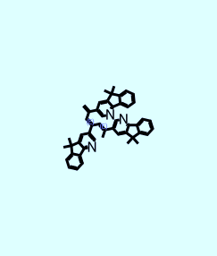 C=C(/C=C(\C=C(/C)c1cnc2c(c1)C(C)(C)c1ccccc1-2)c1cnc2c(c1)C(C)(C)c1ccccc1-2)c1cnc2c(c1)C(C)(C)c1ccccc1-2